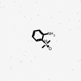 C[SH](C)(=O)c1ccccc1N